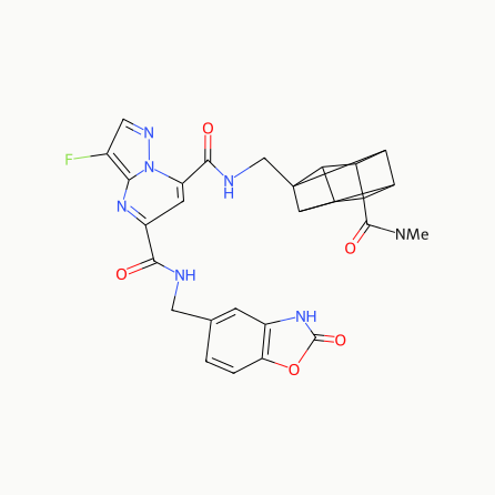 CNC(=O)C12C3C4C1C1C2C3C41CNC(=O)c1cc(C(=O)NCc2ccc3oc(=O)[nH]c3c2)nc2c(F)cnn12